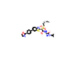 COCCS(=O)(=O)C(C(=O)NCC(=O)NC1CC1)c1nc2ccc(-c3ccc(-c4ncco4)cc3)cc2s1